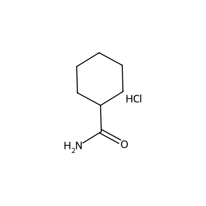 Cl.NC(=O)C1CCCCC1